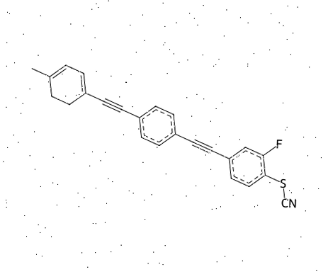 CC1=CC=C(C#Cc2ccc(C#Cc3ccc(SC#N)c(F)c3)cc2)CC1